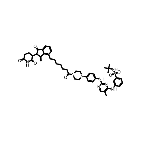 C=C1c2c(CCCCCCC(=O)N3CCN(c4ccc(Nc5ncc(C)c(Nc6cccc(S(=O)(=O)NC(C)(C)C)c6)n5)cc4)CC3)cccc2C(=O)C1C1CCC(=O)NC1=O